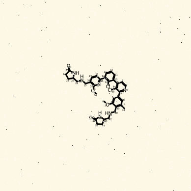 COc1cc(-c2nccc(-c3cccc(-c4ccc(CNCC5CCC(=O)N5)c(OC)n4)c3Cl)c2Cl)cc(C)c1CNCC1CCC(=O)N1